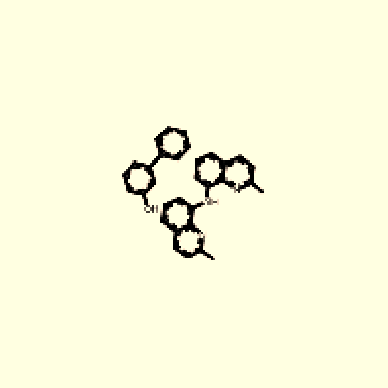 Cc1ccc2ccc[c]([AlH][c]3cccc4ccc(C)nc34)c2n1.Oc1cccc(-c2ccccc2)c1